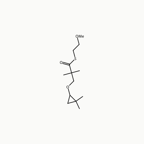 COCCSC(=O)C(C)(C)COC1CC1(C)C